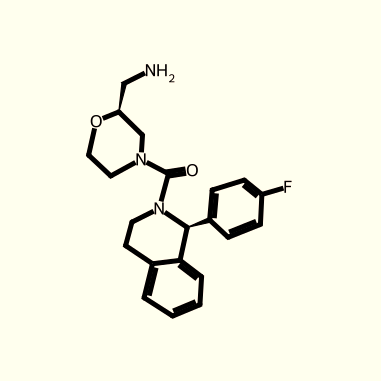 NC[C@H]1CN(C(=O)N2CCc3ccccc3[C@@H]2c2ccc(F)cc2)CCO1